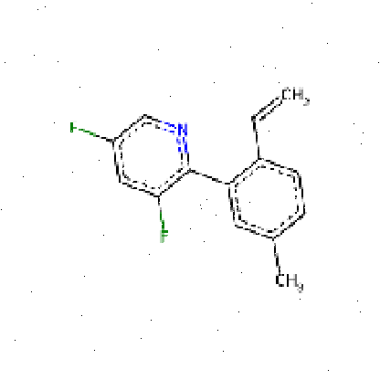 C=Cc1ccc(C)cc1-c1ncc(F)cc1F